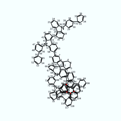 C1=CC2=C(CC1)c1cc(-c3ccc4c5c(-c6cccc7c6c6ccccc6n7-c6ccc(-c7ccccc7)cc6)cccc5n(-c5cccc(-c6ccccc6)c5)c4c3)ccc1C21c2ccccc2N(c2cccc(-n3c4ccccc4c4ccccc43)c2)c2cc(-c3cc(-c4ccccc4)c4c5ccccc5n(-c5ccccc5-c5ccccc5-n5c6ccccc6c6c(-c7ccccc7)cccc65)c4c3)ccc21